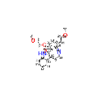 COCCOC(=O)[C@@]12c3[nH]c4ccccc4c3CCN3CC1C[C@@H](CCOC)C32